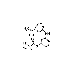 C=C(O)c1ccnc(Nc2cc(N3CC[C@](O)(C#N)C3=O)ccn2)c1